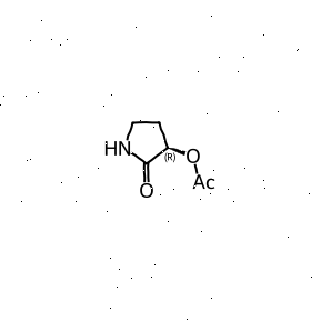 CC(=O)O[C@@H]1CCNC1=O